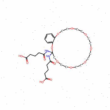 O=C(O)CCCC(=O)NC1(NC(=O)CCCC(=O)O)COCCOCCOCCOCCOCCOCCOc2ccccc2O1